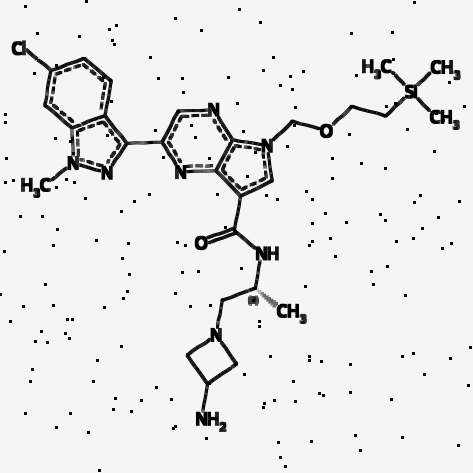 C[C@H](CN1CC(N)C1)NC(=O)c1cn(COCC[Si](C)(C)C)c2ncc(-c3nn(C)c4cc(Cl)ccc34)nc12